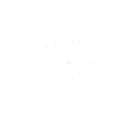 CC(C)(C)OC(=O)N(C(=O)OC(C)(C)C)[C@@H](CCCC(=O)O)C(=O)OCc1ccccc1